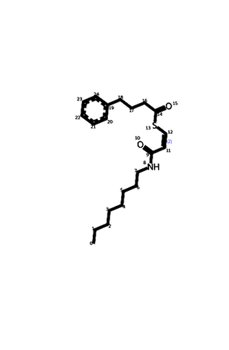 CCCCCCCCNC(=O)/C=C\SC(=O)CCCc1ccccc1